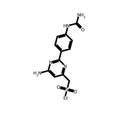 CCS(=O)(=O)Cc1cc(N)nc(-c2ccc(NC(N)=O)cc2)n1